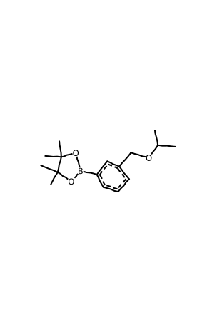 CC(C)OCc1cccc(B2OC(C)(C)C(C)(C)O2)c1